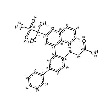 CC(C)(c1cc(-c2cc(-c3ccccc3)ccc2CCC(=O)O)c2ncccc2c1)S(C)(=O)=O